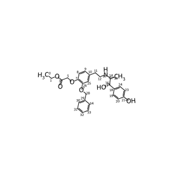 CCOC(=O)COc1ccc(CCN[C@@H](C)[C@@H](O)c2ccc(O)cc2)cc1OCc1ccccc1